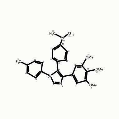 COc1cc(-c2ncn(-c3ccc(C(F)(F)F)cc3)c2-c2ccc(N(C)C)cc2)cc(OC)c1OC